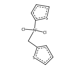 Cl[N+](Cl)(Cc1cccs1)c1cccs1